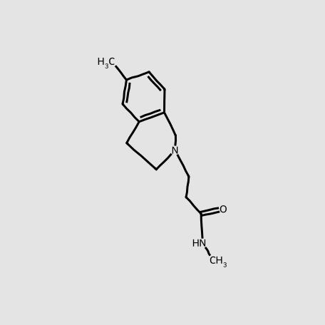 CNC(=O)CCN1CCc2cc(C)ccc2C1